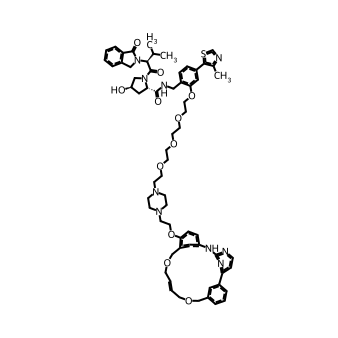 Cc1ncsc1-c1ccc(CNC(=O)[C@@H]2C[C@@H](O)CN2C(=O)[C@H](C(C)C)N2Cc3ccccc3C2=O)c(OCCOCCOCCOCCN2CCN(CCOc3ccc4cc3COC/C=C/COCc3cccc(c3)-c3ccnc(n3)N4)CC2)c1